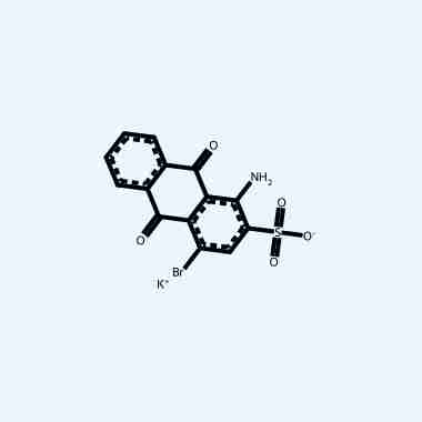 Nc1c(S(=O)(=O)[O-])cc(Br)c2c1C(=O)c1ccccc1C2=O.[K+]